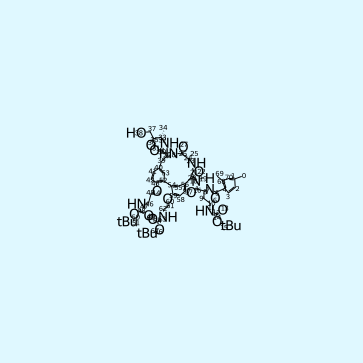 Cc1ccc(C(=O)N[C@@H](CCNC(=O)OC(C)(C)C)C(=O)N(C)[C@@H]2C(=O)N[C@@H](C)C(=O)N[C@H](C(=O)N[C@@H](C)C(=O)CO)Cc3ccc(OCCNC(=O)OC(C)(C)C)c(c3)-c3cc2ccc3OCCNC(=O)OC(C)(C)C)c(C)c1